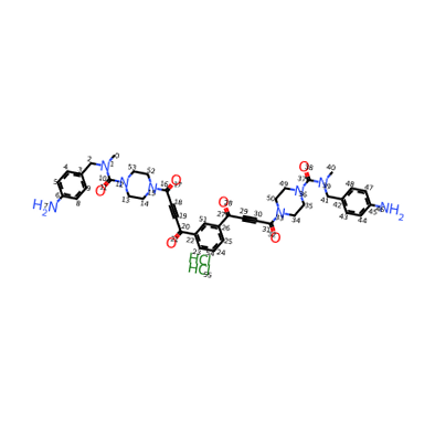 CN(Cc1ccc(N)cc1)C(=O)N1CCN(C(=O)C#CC(=O)c2cccc(C(=O)C#CC(=O)N3CCN(C(=O)N(C)Cc4ccc(N)cc4)CC3)c2)CC1.Cl.Cl